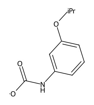 CC(C)Oc1cccc(NC([O])=O)c1